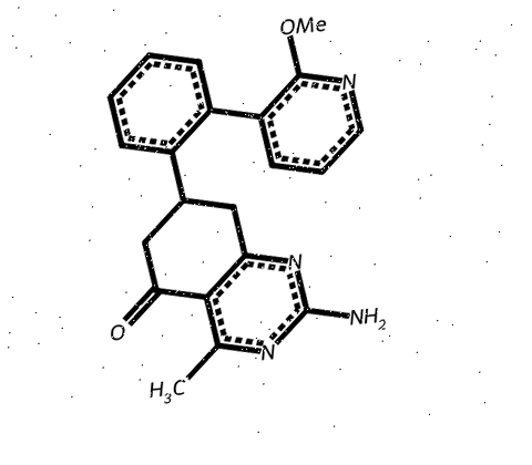 COc1ncccc1-c1ccccc1C1CC(=O)c2c(C)nc(N)nc2C1